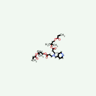 C=CC(=O)OCCC(C)(C)OC(=O)CCN(CCC(=O)OCCC(C)(C)OC(=O)C=C)Cc1ccncc1